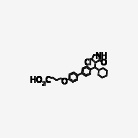 O=C(O)CCCOc1ccc(-c2ccc(C(C3CCCCC3)C3CCNC3=O)c(Cl)c2)cc1